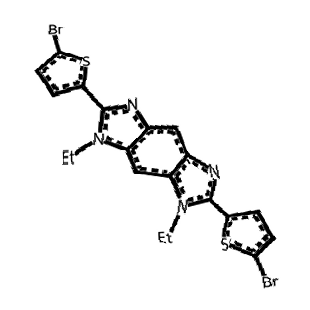 CCn1c(-c2ccc(Br)s2)nc2cc3nc(-c4ccc(Br)s4)n(CC)c3cc21